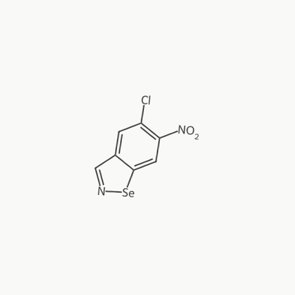 O=[N+]([O-])c1cc2[se]ncc2cc1Cl